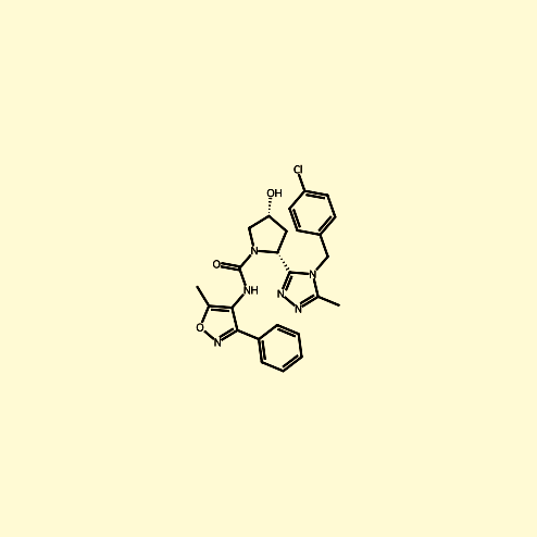 Cc1onc(-c2ccccc2)c1NC(=O)N1C[C@H](O)C[C@@H]1c1nnc(C)n1Cc1ccc(Cl)cc1